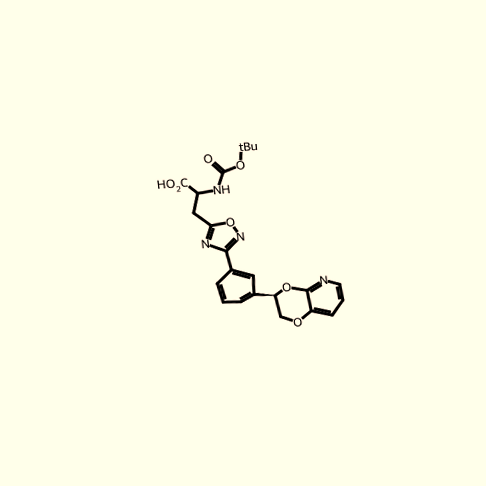 CC(C)(C)OC(=O)NC(Cc1nc(-c2cccc([C@@H]3COc4cccnc4O3)c2)no1)C(=O)O